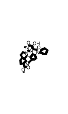 COC(=O)c1ccc2c(c1)[C@@H](c1ccccc1C#N)N(c1nc(-c3nc4ccccc4o3)c(O)c(=O)n1C)CC2